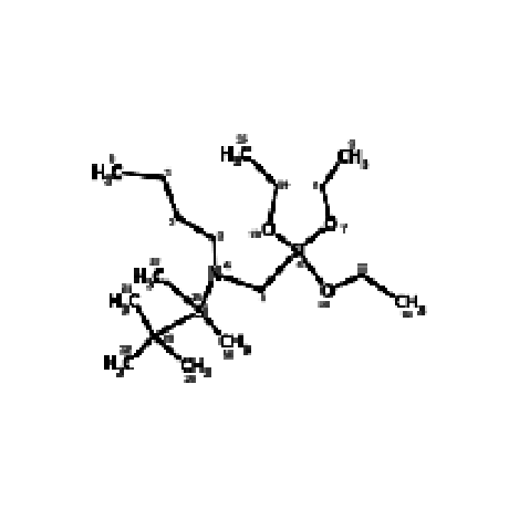 CCCCN(C[Si](OCC)(OCC)OCC)[Si](C)(C)C(C)(C)C